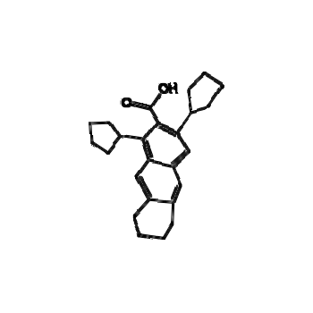 O=C(O)c1c(C2CCCC2)cc2cc3c(cc2c1C1CCCC1)CCCC3